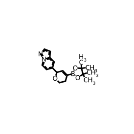 CC1(C)OB(C2=CC(c3ccn4nccc4c3)OCC2)OC1(C)C